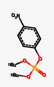 CCCCOP(=O)(OCCCC)Oc1ccc([N+](=O)[O-])cc1